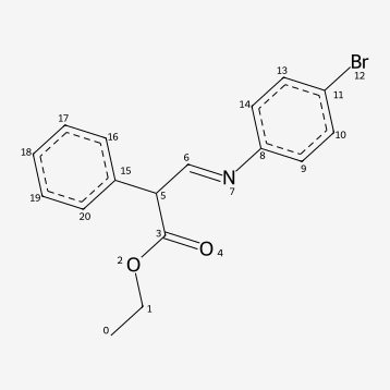 CCOC(=O)C(C=Nc1ccc(Br)cc1)c1ccccc1